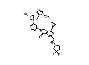 Cn1cnnc1C[C@]1(c2cccc(N3Cc4c(cc(CNC5CCC(F)(F)C5)nc4C4CC4)C3=O)c2)C[C@H](C#N)C1